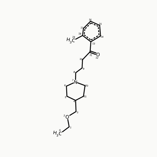 CCOCC1CCN(CCCC(=O)c2ccccc2C)CC1